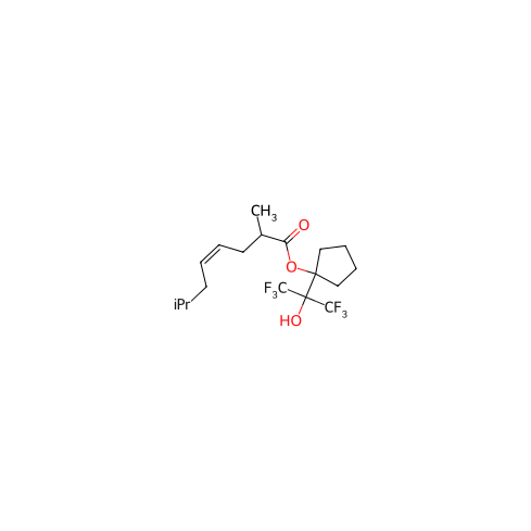 CC(C)C/C=C\CC(C)C(=O)OC1(C(O)(C(F)(F)F)C(F)(F)F)CCCC1